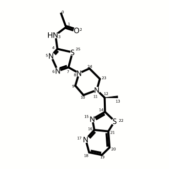 CC(=O)Nc1nnc(N2CCN([C@@H](C)c3nc4ncccc4s3)CC2)s1